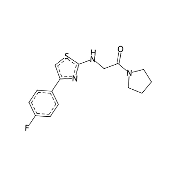 O=C(CNc1nc(-c2ccc(F)cc2)cs1)N1CCCC1